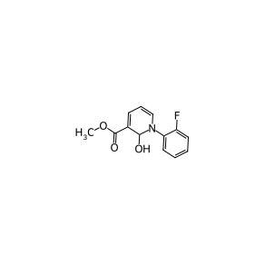 COC(=O)C1=CC=CN(c2ccccc2F)C1O